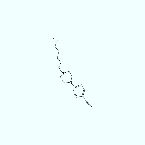 COCCCCCN1CCN(c2ccc(C#N)cc2)CC1